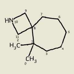 CC1(C)CCCCCC12CNC2